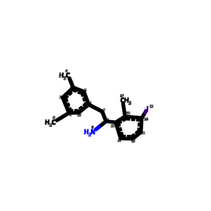 Cc1cc(C)cc(CC(N)c2cccc(I)c2C)c1